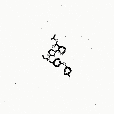 CCN(Cc1ccc(Oc2ccc(F)cc2)cc1)[C@H]1CCN(c2ncccc2C(=O)OC(C)C)C1